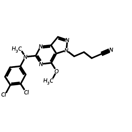 COc1nc(N(C)c2ccc(Cl)c(Cl)c2)nc2cnn(CCCC#N)c12